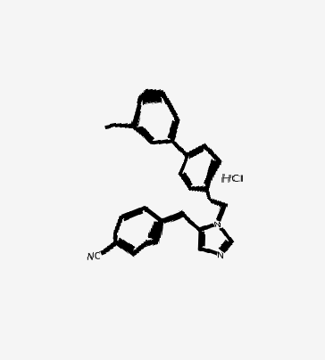 Cc1cccc(-c2ccc(Cn3cncc3Cc3ccc(C#N)cc3)cc2)c1.Cl